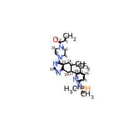 C=CC(=O)N1CCN(c2ncnc3c2CC(C)C(c2nc(N(C)PC)ccc2C(F)(F)F)C3)CC1